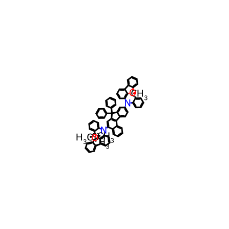 Cc1ccccc1N(c1ccc2c(c1)C(c1ccccc1)(c1ccccc1)c1cc(N(c3ccccc3[Si](C)(C)C)c3cccc4c3oc3ccccc34)c3ccccc3c1-2)c1cccc2c1oc1ccccc12